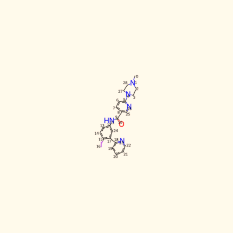 CN1CCN(c2ccc(C(=O)Nc3ccc(I)c(-c4ccccn4)c3)cn2)CC1